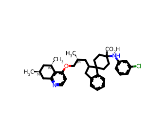 C[C@@H]1Cc2nccc(OC[C@H](C)CC3Cc4ccccc4C34CCC(Nc3cccc(Cl)c3)(C(=O)O)CC4)c2[C@@H](C)C1